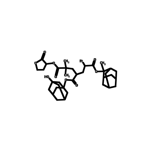 CCC(CC(CC(C)(C)C(=O)OC1CCOC1=O)C(=O)OC12CC3CC(CC(O)(C3)C1)C2)C(=O)OC1(C)C2CC3CC(C2)CC1C3